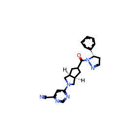 N#Cc1cc(N2C[C@H]3CC(C(=O)N4N=CC[C@H]4c4ccccc4)C[C@H]3C2)ncn1